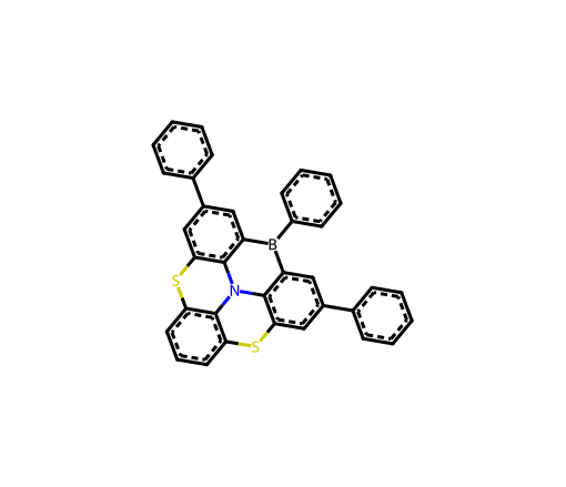 c1ccc(B2c3cc(-c4ccccc4)cc4c3N3c5c(cccc5Sc5cc(-c6ccccc6)cc2c53)S4)cc1